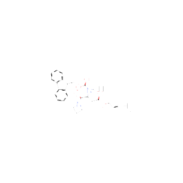 C=CCOC(=O)C[C@@H](C(=O)N1CCC1)N(C)C(=O)OCC1c2ccccc2-c2ccccc21